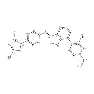 COc1ccc(-c2cccc3c2CC[C@H]3Oc2ccc(C3CC(O)=N[S+]3[O-])cc2)c(C)n1